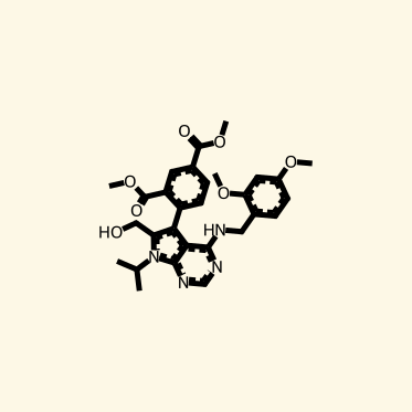 COC(=O)c1ccc(-c2c(CO)n(C(C)C)c3ncnc(NCc4ccc(OC)cc4OC)c23)c(C(=O)OC)c1